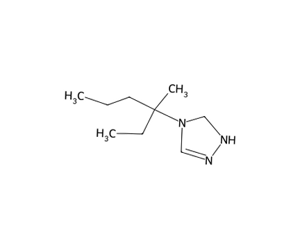 CCCC(C)(CC)N1C=NNC1